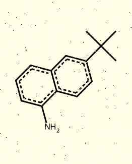 CC(C)(C)c1ccc2c(N)cccc2c1